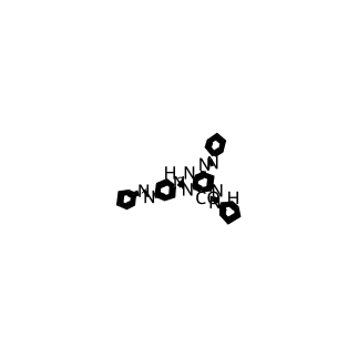 Nc1c(N=Nc2ccccc2)cc(N=Nc2ccccc2)c(C(=O)O)c1N=Nc1ccc(N=Nc2ccccc2)cc1